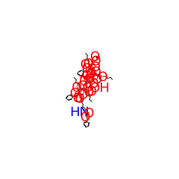 CCCCOCC1O[C@@H](OCCCCCNC(=O)OCc2ccccc2)[C@@H](OC(=O)c2ccccc2)C(OCCCC)[C@@H]1O[C@@H]1OC(C(=O)O)[C@@H](O[C@H]2OC(COCCCC)[C@H](O[C@H]3OC(COC(C)=O)[C@@H](OCCCC)[C@H](OC(C)=O)C3OCCCC)[C@H](OCCCC)C2OCCCC)C(OCCCC)[C@@H]1OC(=O)c1ccccc1